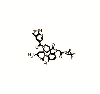 Nc1ccn(-c2c(F)ccc3c2C2(CCN(C(=O)c4cnc5[nH]ncc5c4)CC2)C(=O)N3CC(=O)NCC(F)(F)F)c(=O)n1